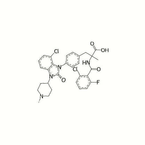 CN1CCC(n2c(=O)n(-c3ccc(CC(C)(NC(=O)c4c(F)cccc4Cl)C(=O)O)cc3)c3c(Cl)cccc32)CC1